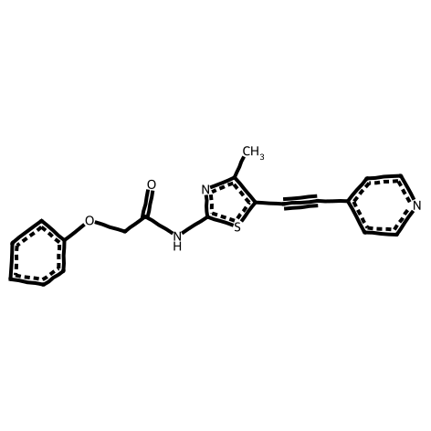 Cc1nc(NC(=O)COc2ccccc2)sc1C#Cc1ccncc1